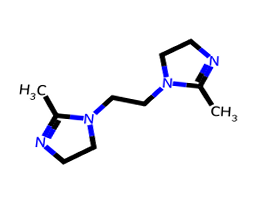 CC1=NCCN1CCN1CCN=C1C